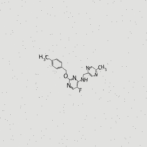 Cc1ccc(COc2ncc(F)c(NCc3cnc(C)cn3)n2)cc1